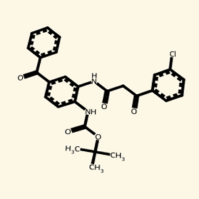 CC(C)(C)OC(=O)Nc1ccc(C(=O)c2ccccc2)cc1NC(=O)CC(=O)c1cccc(Cl)c1